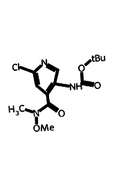 CON(C)C(=O)c1cc(Cl)ncc1NC(=O)OC(C)(C)C